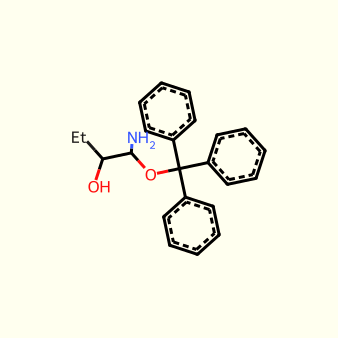 CCC(O)C(N)OC(c1ccccc1)(c1ccccc1)c1ccccc1